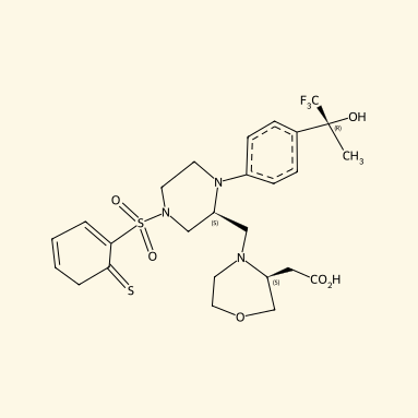 C[C@@](O)(c1ccc(N2CCN(S(=O)(=O)C3=CC=CCC3=S)C[C@@H]2CN2CCOC[C@@H]2CC(=O)O)cc1)C(F)(F)F